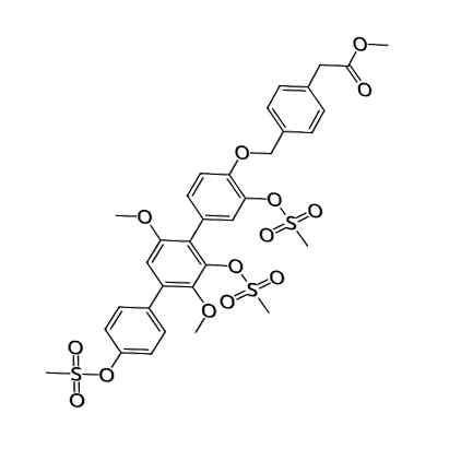 COC(=O)Cc1ccc(COc2ccc(-c3c(OC)cc(-c4ccc(OS(C)(=O)=O)cc4)c(OC)c3OS(C)(=O)=O)cc2OS(C)(=O)=O)cc1